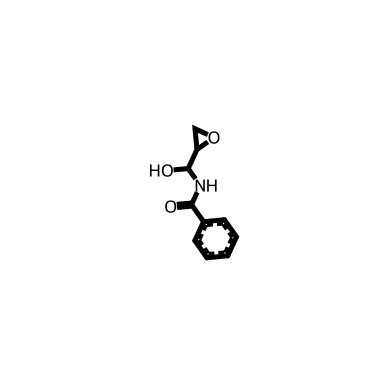 O=C(NC(O)C1CO1)c1ccccc1